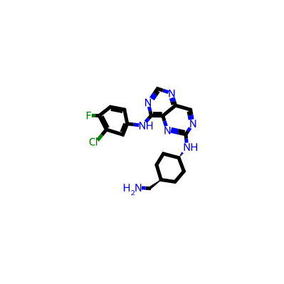 NC[C@H]1CC[C@H](Nc2ncc3ncnc(Nc4ccc(F)c(Cl)c4)c3n2)CC1